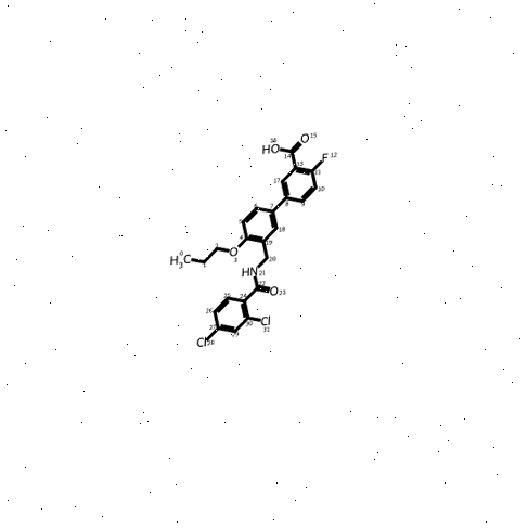 CCCOc1ccc(-c2ccc(F)c(C(=O)O)c2)cc1CNC(=O)c1ccc(Cl)cc1Cl